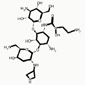 NCCN(O)C(=O)N[C@@H]1C[C@H](N)[C@@H](O[C@H]2O[C@H](CN)[C@@H](O)C[C@H]2NC2CNC2)[C@H](O)[C@H]1O[C@H]1O[C@H](CO)[C@@H](O)[C@H](N)[C@H]1O